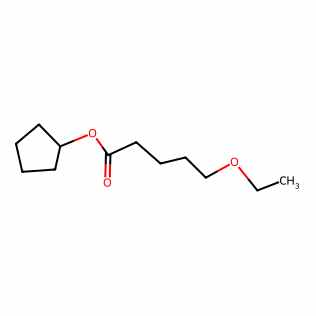 CCOCCCCC(=O)OC1CCCC1